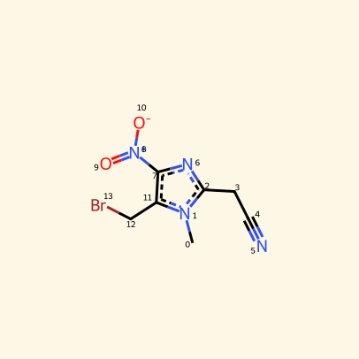 Cn1c(CC#N)nc([N+](=O)[O-])c1CBr